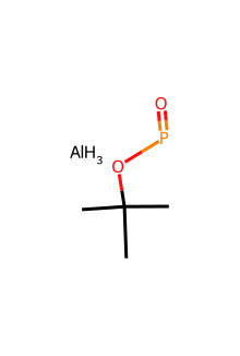 CC(C)(C)OP=O.[AlH3]